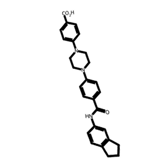 O=C(O)c1ccc(N2CCN(c3ccc(C(=O)Nc4ccc5c(c4)CCC5)cc3)CC2)cc1